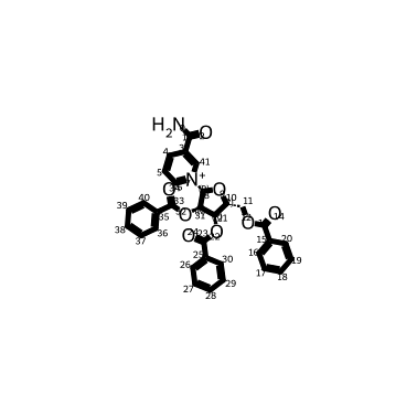 NC(=O)c1ccc[n+]([C@@H]2O[C@H](COC(=O)c3ccccc3)[C@@H](OC(=O)c3ccccc3)[C@H]2OC(=O)c2ccccc2)c1